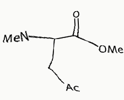 CNC(CC(C)=O)C(=O)OC